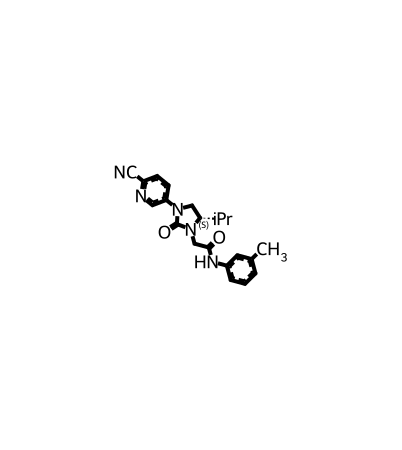 Cc1cccc(NC(=O)CN2C(=O)N(c3ccc(C#N)nc3)C[C@@H]2C(C)C)c1